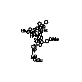 CC[C@H](O/N=C(\C(=O)NC1C(=O)N2C(C(=O)OCc3ccc(OC)cc3)=C(C[n+]3cccc4c3ccn4CCCN(C)C(=O)OC(C)(C)C)CSC12)c1nc(NC(=O)OC(C)(C)C)sc1Cl)C(=O)OC(c1ccccc1)c1ccccc1